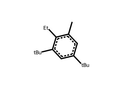 [CH2]Cc1c(C)cc(C(C)(C)C)cc1C(C)(C)C